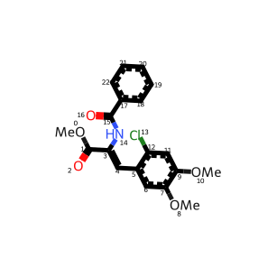 COC(=O)C(=Cc1cc(OC)c(OC)cc1Cl)NC(=O)c1ccccc1